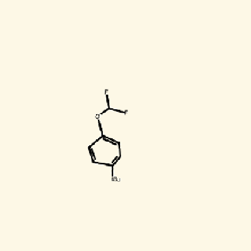 CC(C)(C)c1ccc(OC(F)F)cc1